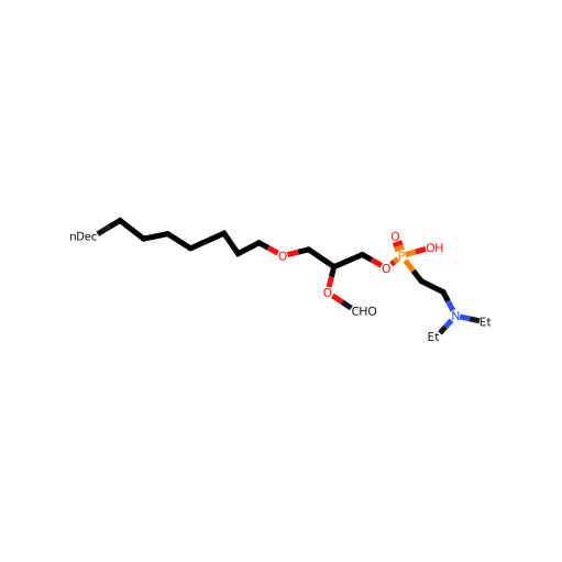 CCCCCCCCCCCCCCCCCOCC(COP(=O)(O)CCN(CC)CC)OC=O